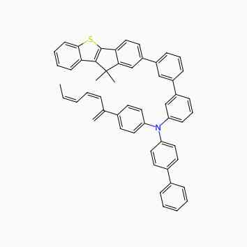 C=C(/C=C\C=C/C)c1ccc(N(c2ccc(-c3ccccc3)cc2)c2cccc(-c3cccc(-c4ccc5c(c4)C(C)(C)c4c-5sc5ccccc45)c3)c2)cc1